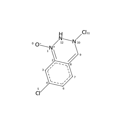 [O-][N+]1=c2cc(Cl)ccc2=CN(Cl)N1